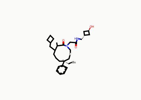 CCC(C)C[C@]1(c2ccccc2)CCCC(CC2CCC2)C(C)C(=O)N(CC(=O)NC[C@H]2C[C@H](O)C2)CCC1